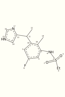 CCS(=O)(=O)Nc1cc(F)cc(C(C)c2c[nH]cn2)c1C